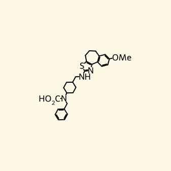 COc1ccc2c(c1)CCCc1sc(NCC3CCC(N(Cc4ccccc4)C(=O)O)CC3)nc1-2